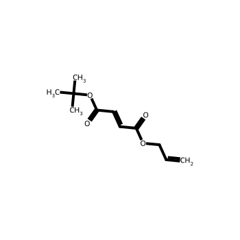 C=CCOC(=O)/C=C/C(=O)OC(C)(C)C